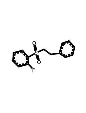 O=S(=O)(CCc1ccccc1)c1cc[c]cc1F